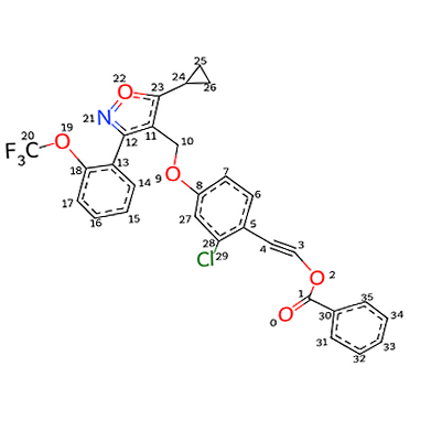 O=C(OC#Cc1ccc(OCc2c(-c3ccccc3OC(F)(F)F)noc2C2CC2)cc1Cl)c1ccccc1